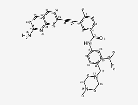 Cc1ccc(C(=O)Nc2ccc(CN3CCN(C)CC3)c(C(C)F)c2)cc1C#Cc1ccc2cnc(N)nc2c1